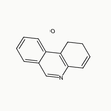 C1=Cc2ncc3ccccc3c2CC1.[O]